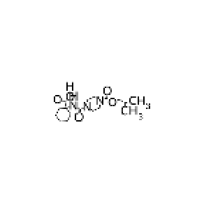 CC(C)COC(=O)N1CCN(C(=O)NC2(C(=O)O)CCCCC2)CC1